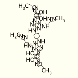 CCc1cnn([C@H]2C[C@@H](n3cnc4c(N[C@H]5CC[C@H](Nc6nc(NCCc7cn(C)cn7)nc7c6ncn7[C@@H]6C[C@H](n7cc(CC)cn7)[C@@H](O)[C@H]6O)CC5)nc(NCCc5cn(C)cn5)nc43)[C@H](O)[C@@H]2O)c1